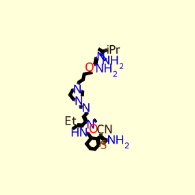 C=NC(=C\C=N/CN1CCCN(CCCCO/C(N)=C/N(N)C(C)C(C)C)CC1)/C(NC(=O)C1CCCc2sc(N)c(C#N)c21)=C(/C)CC